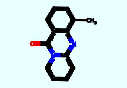 Cc1cccc2c(=O)n3ccccc3nc12